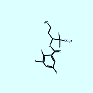 O=C(OC(CCO)C(F)(F)C(=O)O)c1cc(I)cc(I)c1I